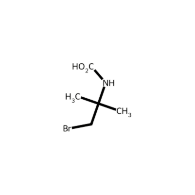 CC(C)(CBr)NC(=O)O